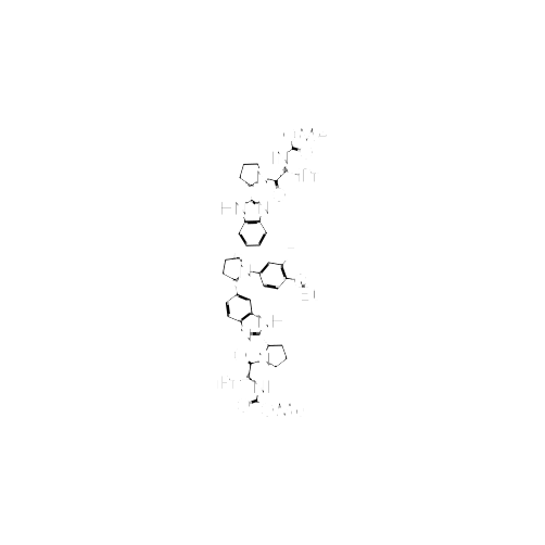 CCOc1ccc(N2[C@@H](c3ccc4nc([C@@H]5CCCN5C(=O)[C@@H](NC(=O)OC)C(C)C)[nH]c4c3)CC[C@@H]2c2ccc3nc([C@@H]4CCCN4C(=O)[C@@H](NC(=O)OC)C(C)C)[nH]c3c2)cc1F